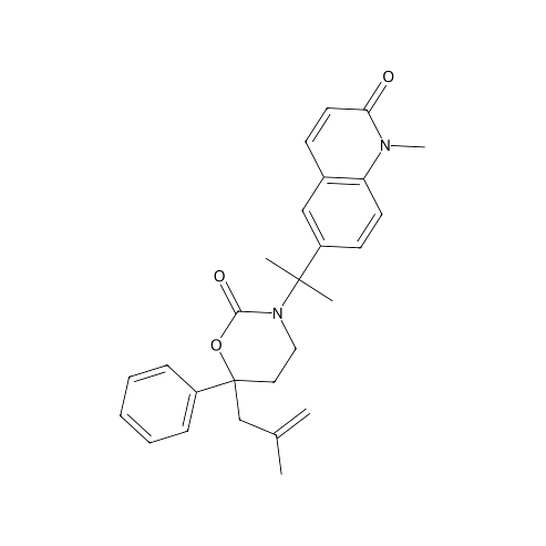 C=C(C)CC1(c2ccccc2)CCN(C(C)(C)c2ccc3c(ccc(=O)n3C)c2)C(=O)O1